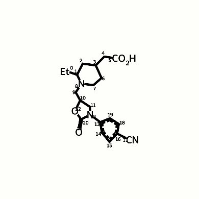 CCC1CC(CC(=O)O)CCN1CC1CN(c2ccc(C#N)cc2)C(=O)O1